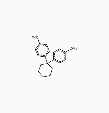 COc1ccc(C2(c3ccc(OC)cc3)CCCCC2)cc1